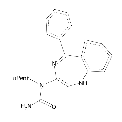 CCCCCN(C(N)=O)C1=CNc2ccccc2C(c2ccccc2)=N1